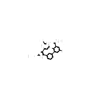 Cc1nc(-c2cccc(-c3cc(F)cc(C(N)=O)c3F)c2)c(-c2ccnc(Cl)n2)s1